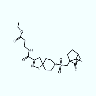 CCOC(=O)CCNC(=O)C1=NOC2(CCN(S(=O)(=O)CC34CCC(CC3=O)C4(C)C)CC2)C1